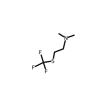 CN(C)CCSC(F)(F)F